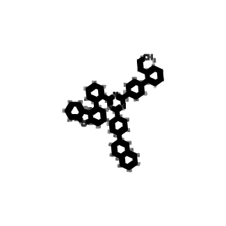 C/C=C\c1ccccc1-c1ccc(-c2nc(-c3ccccc3-c3cccc4oc5ccccc5c34)nc(C3C=CC(c4ccc5ccccc5c4)=CC3)n2)cc1